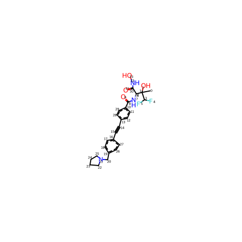 CC(O)(C(F)F)[C@H](NC(=O)c1ccc(C#Cc2ccc(CN3CCCC3)cc2)cc1)C(=O)NO